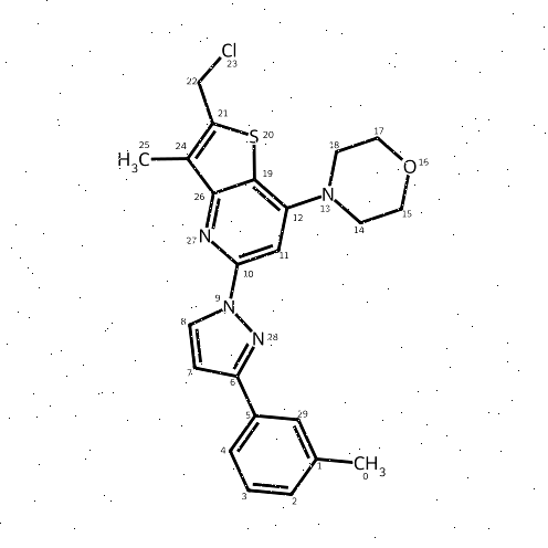 Cc1cccc(-c2ccn(-c3cc(N4CCOCC4)c4sc(CCl)c(C)c4n3)n2)c1